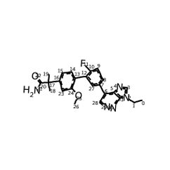 CCn1cnc2c(-c3ccc(F)c(-c4ccc(C(C)(C)C(N)=O)cc4OC)c3)cnnc21